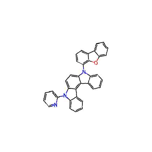 c1ccc(-n2c3ccccc3c3c4c5ccccc5n(-c5cccc6c5oc5ccccc56)c4ccc32)nc1